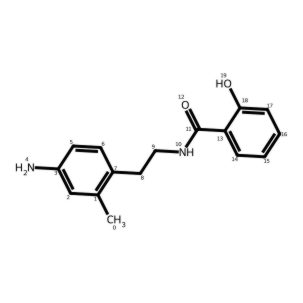 Cc1cc(N)ccc1CCNC(=O)c1ccccc1O